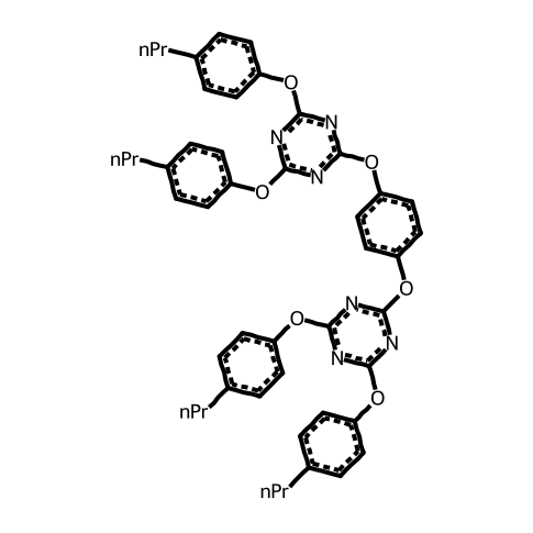 CCCc1ccc(Oc2nc(Oc3ccc(CCC)cc3)nc(Oc3ccc(Oc4nc(Oc5ccc(CCC)cc5)nc(Oc5ccc(CCC)cc5)n4)cc3)n2)cc1